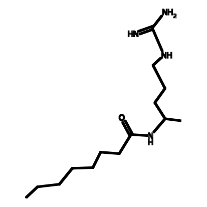 CCCCCCCC(=O)NC(C)CCCNC(=N)N